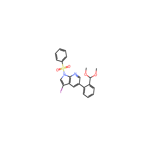 COC(OC)c1ccccc1-c1cnc2c(c1)c(I)cn2S(=O)(=O)c1ccccc1